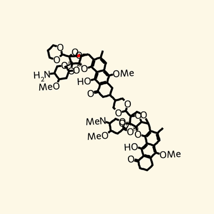 CNC1COC(O[C@@]23Oc4c(c(C)cc5c(OC)c6c(c(O)c45)C(=O)CCC6)C4OCC(C5OCC(C6CC(=O)c7c(c(OC)c8cc(C)c9c(c8c7O)O[C@]7(OC8CC(OC)C(N)CO8)C8OC(C%10OCCCO%10)(COC98)[C@]78CO8)C6)CO5)(OC42)[C@]32CO2)CC1OC